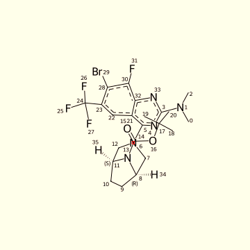 CN(C)c1nc(N2C[C@H]3CC[C@@H](C2)N3C(=O)OC(C)(C)C)c2cc(C(F)(F)F)c(Br)c(F)c2n1